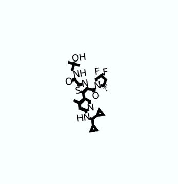 Cc1cc(NC(C2CC2)C2CC2)ncc1-c1sc(C(=O)NCC(C)(C)O)nc1C(=O)N1CC(F)(F)C[C@@H]1C